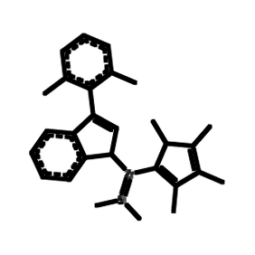 CC1=C(C)C(C)[C]([Zr]([CH]2C=C(c3c(C)cccc3C)c3ccccc32)=[Si](C)C)=C1C